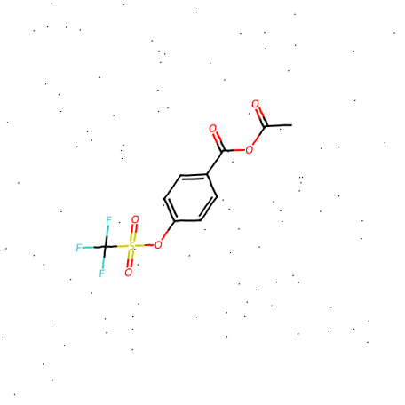 CC(=O)OC(=O)c1ccc(OS(=O)(=O)C(F)(F)F)cc1